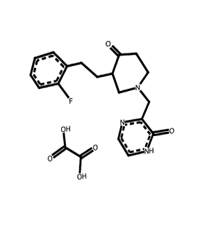 O=C(O)C(=O)O.O=C1CCN(Cc2ncc[nH]c2=O)CC1CCc1ccccc1F